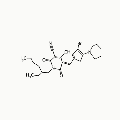 CCCCC(CC)CN1C(=O)C(C#N)=C(C)/C(=C\C2=CC(Br)=C(N3CCCCC3)C2)C1=O